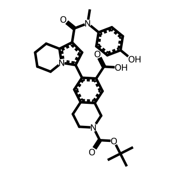 CN(C(=O)c1cc(-c2cc3c(cc2C(=O)O)CN(C(=O)OC(C)(C)C)CC3)n2c1CCCC2)c1ccc(O)cc1